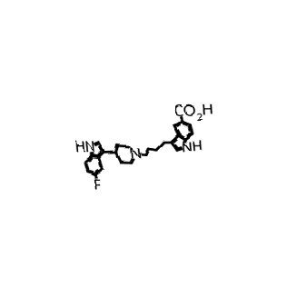 O=C(O)c1ccc2[nH]cc(CCCCN3CCC(c4c[nH]c5ccc(F)cc45)CC3)c2c1